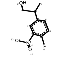 C[C](CO)c1ccc(F)c([N+](=O)[O-])c1